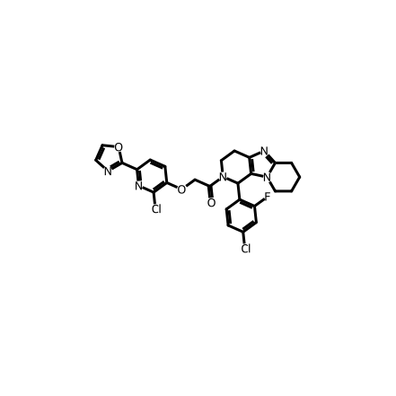 O=C(COc1ccc(-c2ncco2)nc1Cl)N1CCc2nc3n(c2C1c1ccc(Cl)cc1F)CCCC3